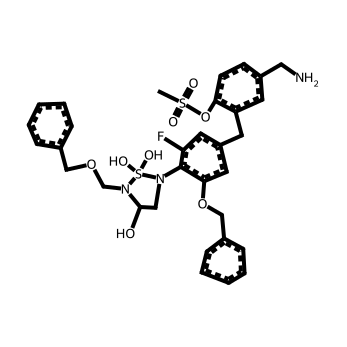 CS(=O)(=O)Oc1ccc(CN)cc1Cc1cc(F)c(N2CC(O)N(COCc3ccccc3)S2(O)O)c(OCc2ccccc2)c1